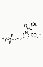 CC(F)(F)CCCC1CC(C(=O)O)N(C(=O)OC(C)(C)C)C1